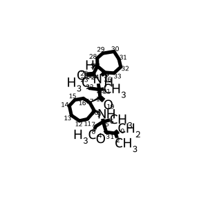 C=C(C)C(=O)C(C)(CC)N[C@H]1CCCCCC[C@H]1C(=O)C(C)(CC)N1C(=O)[C@@H]2CCCCCC[C@@H]21